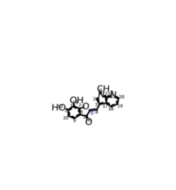 Cn1cc(/C=C2\Oc3c(ccc(O)c3O)C2=O)c2cccnc21